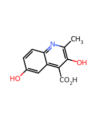 Cc1nc2ccc(O)cc2c(C(=O)O)c1O